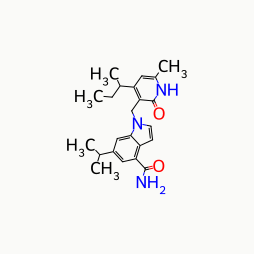 CCC(C)c1cc(C)[nH]c(=O)c1Cn1ccc2c(C(N)=O)cc(C(C)C)cc21